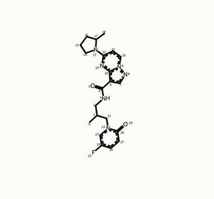 CC(CNC(=O)c1cnn2ccc(N3CCCC3C)nc12)Cn1cc(F)ccc1=O